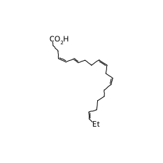 CC/C=C\CCCC/C=C\C/C=C\CC/C=C/C=C\CCC(=O)O